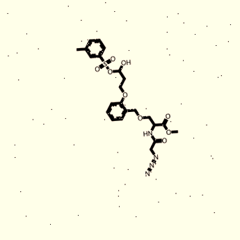 COC(=O)C(COCc1ccccc1OCCC(O)OS(=O)(=O)c1cccc(C)c1)NC(=O)CN=[N+]=[N-]